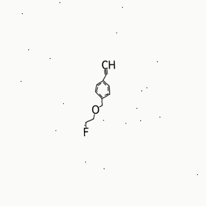 C#Cc1ccc(COCCF)cc1